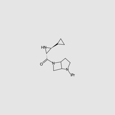 CC(C)N1CCC2C1CN2C(=O)[C@@H]1N[C@H]1C1CC1